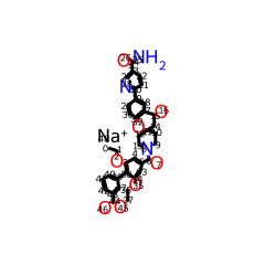 CCOc1cc(C(=O)N2CCC3(CC2)CC(=O)c2cc(-c4ccc(C(N)=O)cn4)ccc2O3)cc(OCC)c1-c1cccc(C(=O)[O-])c1.[Na+]